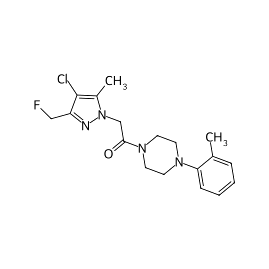 Cc1ccccc1N1CCN(C(=O)Cn2nc(CF)c(Cl)c2C)CC1